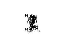 CNC(=O)c1ccccc1Nc1nc(Nc2ccc3c(C(=O)OC)c(C)[nH]c3c2)ncc1Cl